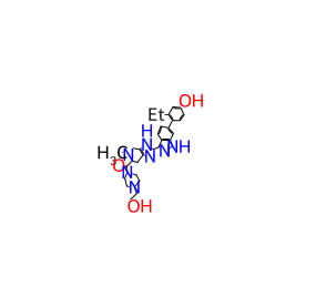 CCc1cc(O)ccc1-c1ccc2c(-c3nc4c([nH]3)CN(C)C(C(=O)N3CCN(CCO)CC3)C4)n[nH]c2c1